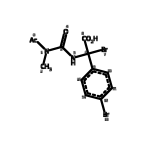 CC(=O)N(C)C(=O)NC(Br)(C(=O)O)c1ccc(Br)cc1